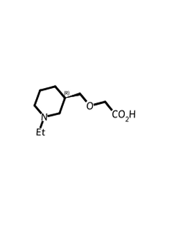 CCN1CCC[C@@H](COCC(=O)O)C1